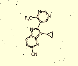 N#Cc1ccc2nc(-c3cncnc3C(F)(F)F)n(C3CC3)c2n1